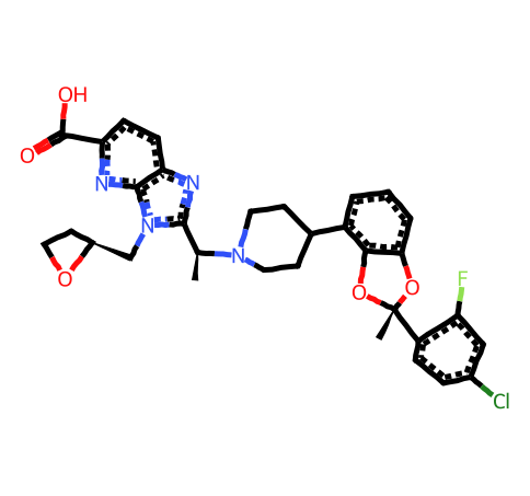 C[C@@H](c1nc2ccc(C(=O)O)nc2n1C[C@@H]1CCO1)N1CCC(c2cccc3c2O[C@@](C)(c2ccc(Cl)cc2F)O3)CC1